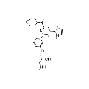 CNCC(O)COc1cccc(-c2nc(-c3nccn3C)cc(N(C)C3CCOCC3)n2)c1